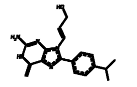 C=C1NC(N)=Nc2c1nc(-c1ccc(C(C)C)cc1)n2C=CCO